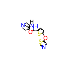 O=C(N[C@H]1CN2CCC1CC2)c1ccc(Oc2cncs2)s1